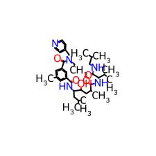 CCN(Cc1ccncc1)C(=O)c1cc(C)cc(C(=O)NC(CC(C)C)C(O)CC(C)C(=O)NC(C(=O)NCC(C)C)C(C)C)c1